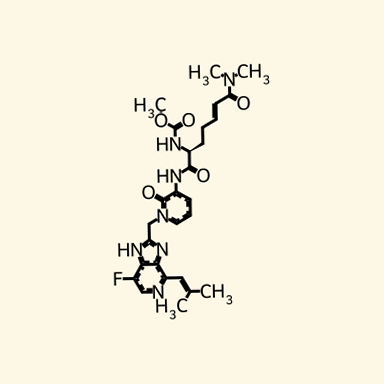 COC(=O)N[C@@H](CC/C=C/C(=O)N(C)C)C(=O)Nc1cccn(Cc2nc3c(C=C(C)C)ncc(F)c3[nH]2)c1=O